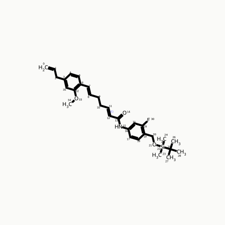 C=CCc1ccc(C=CCC/C=C/C(=O)Nc2ccc(CO[Si](C)(C)C(C)(C)C)c(F)c2)c(OC)c1